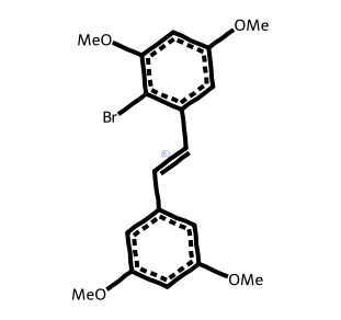 COc1cc(/C=C/c2cc(OC)cc(OC)c2Br)cc(OC)c1